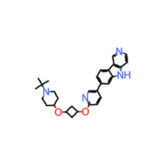 CC(C)(C)N1CCC(OC2CC(Oc3ccc(-c4ccc5c(c4)[nH]c4ccncc45)cn3)C2)CC1